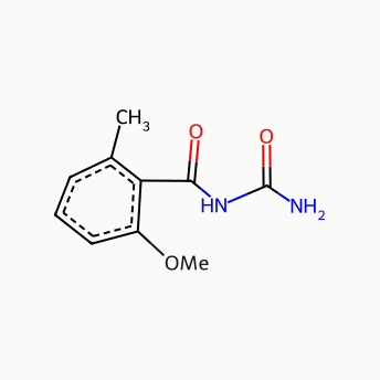 COc1cccc(C)c1C(=O)NC(N)=O